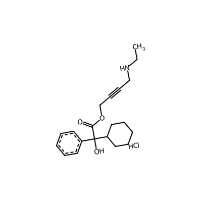 CCNCC#CCOC(=O)C(O)(c1ccccc1)C1CCCCC1.Cl